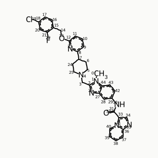 Cn1c(CN2CCC(c3cccc(OCc4ccc(Cl)cc4F)n3)CC2)nc2cc(NC(=O)c3cnc4ccccn34)ccc21